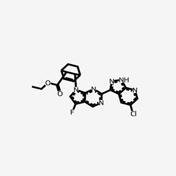 CCOC(=O)C1C2C=CC(CC2)C1n1cc(F)c2cnc(-c3n[nH]c4ncc(Cl)cc34)nc21